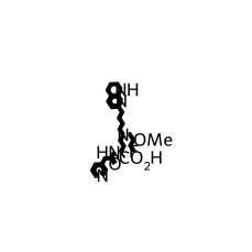 CO[C@H](CF)CN(CCCCc1ccc2c(n1)NCCC2)CC[C@H](NC(=O)Cc1cccnc1)C(=O)O